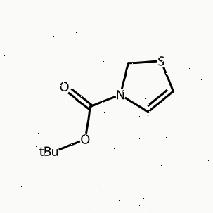 CC(C)(C)OC(=O)N1[C]=CSC1